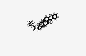 CC(CO[Si](C)(C)C(C)(C)C)[C@H]1CC[C@H]2[C@@H]3CC[C@@H]4C(C(=O)c5ccccc5)C(=O)CC[C@]4(C)[C@H]3CC[C@]12C